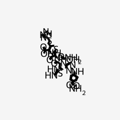 Cn1nnnc1SCC1=C(C(=O)O)N2C(=O)C(NC(=O)C(c3csc(=N)[nH]3)N(C(N)=O)c3cnc(Nc4ccc(S(N)(=O)=O)cc4)nc3O)[C@@H]2SC1